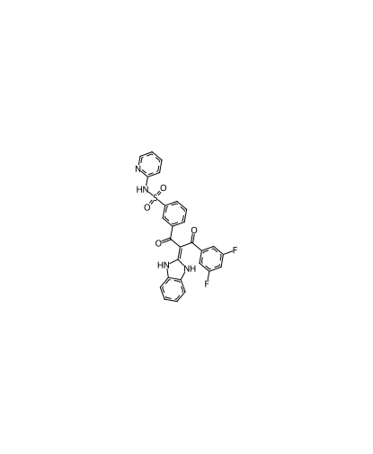 O=C(C(C(=O)c1cccc(S(=O)(=O)Nc2ccccn2)c1)=C1Nc2ccccc2N1)c1cc(F)cc(F)c1